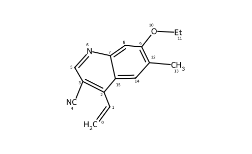 C=Cc1c(C#N)cnc2cc(OCC)c(C)cc12